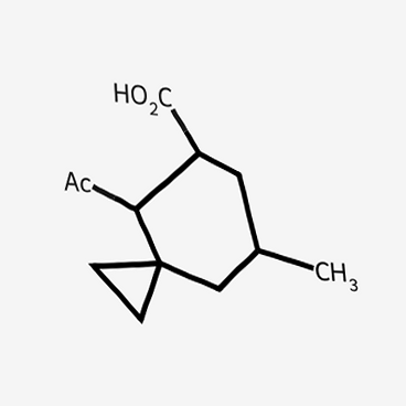 CC(=O)C1C(C(=O)O)CC(C)CC12CC2